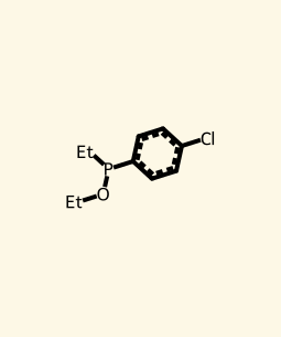 CCOP(CC)c1ccc(Cl)cc1